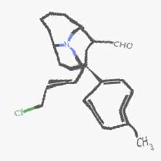 Cc1ccc([C@H]2CC3CCC(C2C=O)N3C/C=C/CCl)cc1